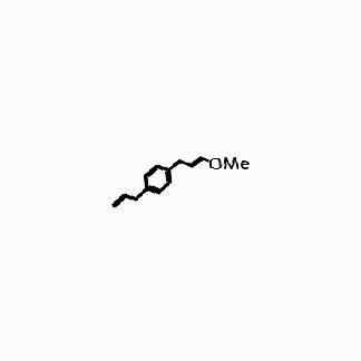 C=CCc1ccc(CC=COC)cc1